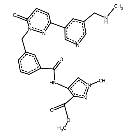 CNCc1cncc(-c2ccc(=O)n(Cc3cccc(C(=O)Nc4cn(C)nc4C(=O)OC)c3)n2)c1